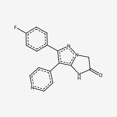 O=C1Cn2nc(-c3ccc(F)cc3)c(-c3ccncc3)c2N1